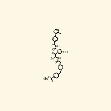 Cc1ncsc1-c1ccc([C@H](C)NC(=O)[C@@H]2C[C@@H](O)CN2C(=O)[C@@H](NC(=O)CN2CCN(CC3CCN(C(=O)OC(C)(C)C)CC3)CC2)C(C)(C)C)cc1